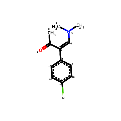 CC(=O)C(=CN(C)C)c1ccc(F)cc1